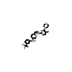 Fc1cnc(N/N=C\c2ccc(Nc3cccc(C(F)(F)F)c3)cn2)nc1N1CCOCC1